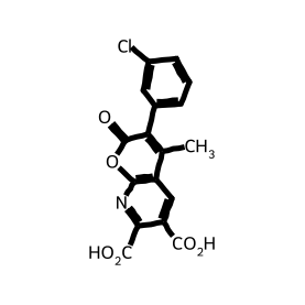 Cc1c(-c2cccc(Cl)c2)c(=O)oc2nc(C(=O)O)c(C(=O)O)cc12